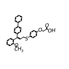 COc1ccccc1C(=CCSc1ccc(OCC(=O)O)cc1)c1ccc(-c2ccccc2)cc1